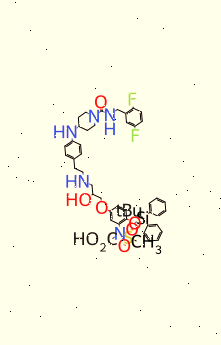 CC(C)(C)[Si](Oc1ccc(OC[C@@H](O)CNCCc2ccc(NC3CCN(C(=O)NCc4cc(F)ccc4F)CC3)cc2)cc1N(C(=O)O)S(C)(=O)=O)(c1ccccc1)c1ccccc1